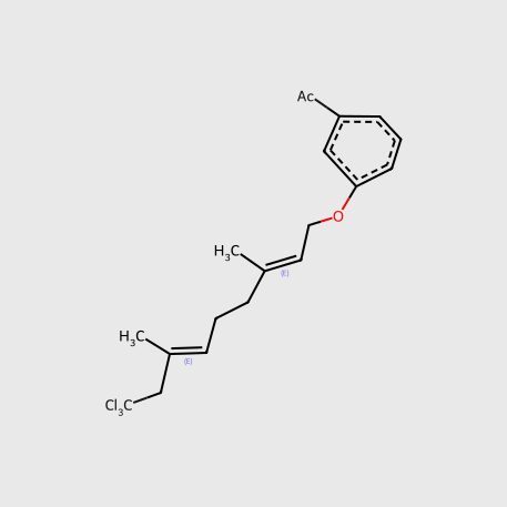 CC(=O)c1cccc(OC/C=C(\C)CC/C=C(\C)CC(Cl)(Cl)Cl)c1